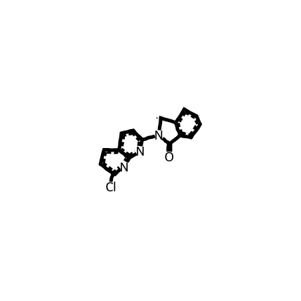 O=C1c2ccccc2[CH]N1c1ccc2ccc(Cl)nc2n1